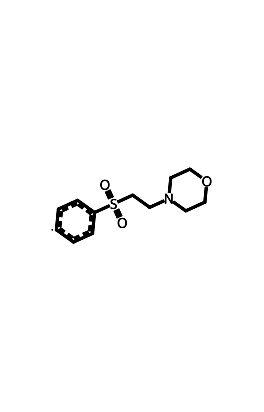 O=S(=O)(CCN1CCOCC1)c1cc[c]cc1